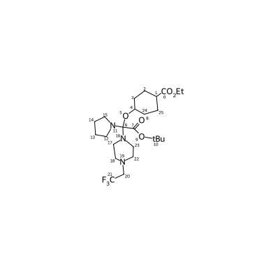 CCOC(=O)C1CCC(OC(C(=O)OC(C)(C)C)(N2CCCC2)N2CCN(CC(F)(F)F)CC2)CC1